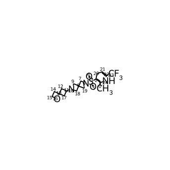 CC1=C(S(=O)(=O)N2CC3(CN(C4CC5(CCO5)C4)C3)C2)CC=C(C(F)(F)F)N1